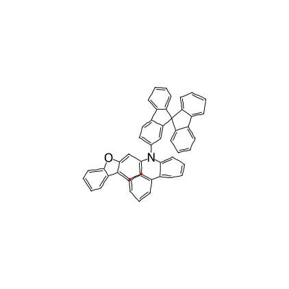 c1ccc(-c2ccccc2N(c2ccc3c(c2)C2(c4ccccc4-c4ccccc42)c2ccccc2-3)c2ccc3c(c2)oc2ccccc23)cc1